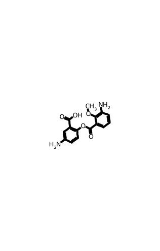 COc1c(N)cccc1C(=O)Oc1ccc(N)cc1C(=O)O